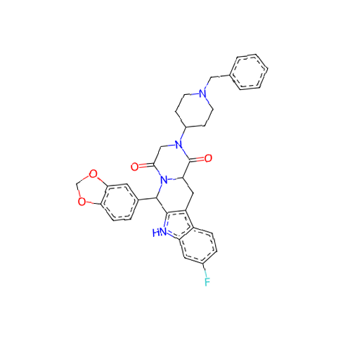 O=C1C2Cc3c([nH]c4cc(F)ccc34)C(c3ccc4c(c3)OCO4)N2C(=O)CN1C1CCN(Cc2ccccc2)CC1